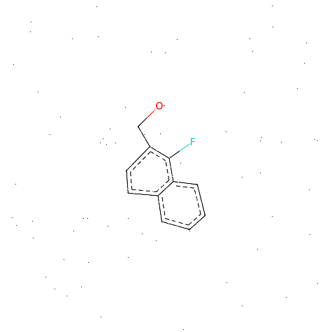 [O]Cc1ccc2ccccc2c1F